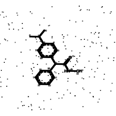 CC(C)c1ccc(C(C(=O)NO)c2ccccc2)cc1